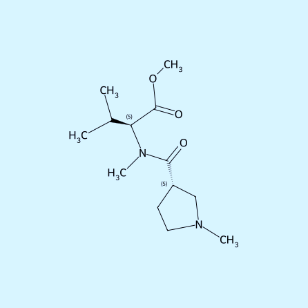 COC(=O)[C@H](C(C)C)N(C)C(=O)[C@H]1CCN(C)C1